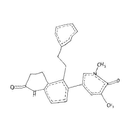 Cc1cc(-c2ccc3c(c2CCc2ccccc2)CCC(=O)N3)cn(C)c1=O